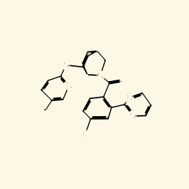 O=C(c1ccc(F)cc1-c1ncccn1)N1CC2CCC1C(Nc1ccc(Cl)cn1)C2